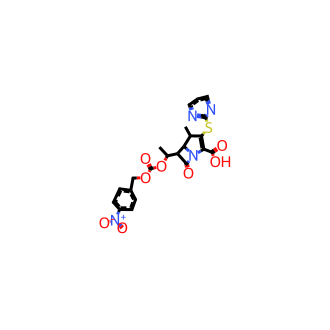 CC(OC(=O)OCc1ccc([N+](=O)[O-])cc1)C1C(=O)N2C(C(=O)O)=C(Sc3ncccn3)C(C)C12